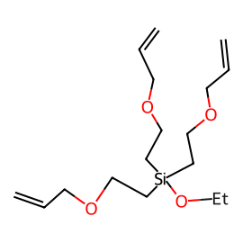 C=CCOCC[Si](CCOCC=C)(CCOCC=C)OCC